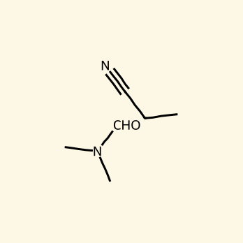 CCC#N.CN(C)C=O